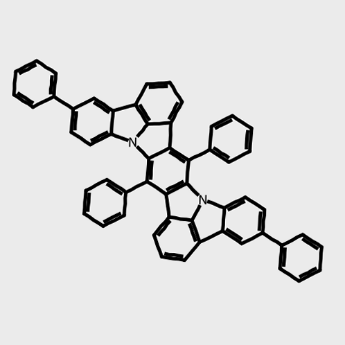 c1ccc(-c2ccc3c(c2)c2cccc4c5c(-c6ccccc6)c6c(c(-c7ccccc7)c5n3c24)c2cccc3c4cc(-c5ccccc5)ccc4n6c32)cc1